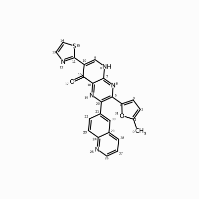 Cc1ccc(-c2nc3[nH]cc(-c4nccs4)c(=O)c3nc2-c2ccc3ncccc3c2)o1